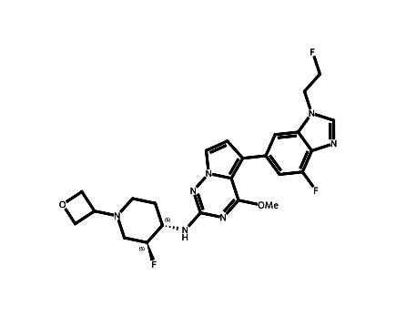 COc1nc(N[C@H]2CCN(C3COC3)C[C@@H]2F)nn2ccc(-c3cc(F)c4ncn(CCF)c4c3)c12